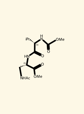 COC(=O)N[C@H](C(=O)N[C@@H](CNC(C)=O)C(=O)OC)C(C)C